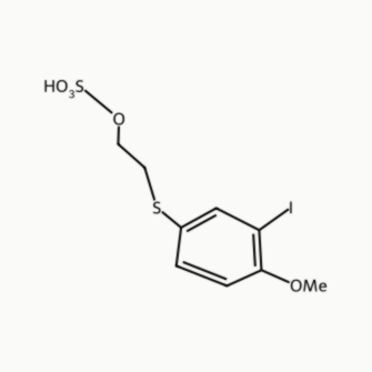 COc1ccc(SCCOS(=O)(=O)O)cc1I